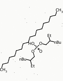 CCCCC(CC)COP(=O)(O)OCC(CC)CCCC.CCCCCCCCCCCCCCCCCC